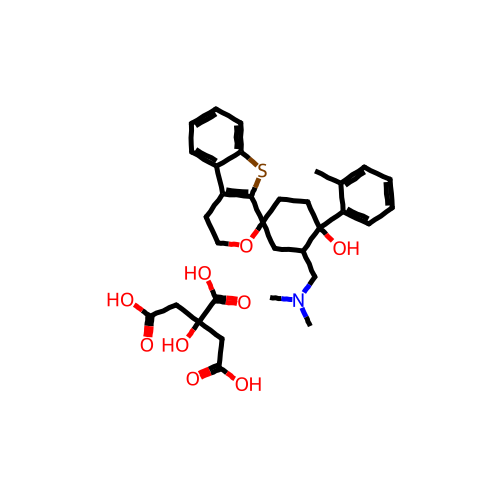 Cc1ccccc1C1(O)CCC2(CC1CN(C)C)OCCc1c2sc2ccccc12.O=C(O)CC(O)(CC(=O)O)C(=O)O